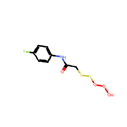 O=C(CSSOOO)Nc1ccc(F)cc1